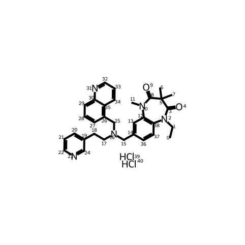 CCN1C(=O)C(C)(C)C(=O)N(C)c2cc(CN(CCc3cccnc3)Cc3cccc4ncccc34)ccc21.Cl.Cl